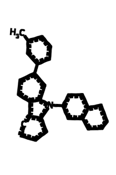 Cc1cccc(-c2ccc3c4ccccc4n(-c4ccc5ccccc5c4)c3c2)c1